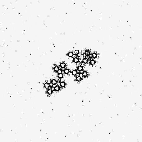 CC1(C)c2ccccc2-c2ccc(N(c3ccc(C4(c5ccc(-c6ccc(C7(c8ccccc8)c8ccccc8-c8cc(N(c9ccccc9)c9ccc%10c(c9)C9(c%11ccccc%11-c%11ccccc%119)c9ccccc9-%10)ccc87)cc6)cc5)c5ccccc5-c5ccccc54)cc3)c3ccc4c(c3)-c3ccccc3C4(c3ccccc3)c3ccccc3)cc21